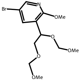 COCOCC(OCOC)c1cc(Br)cnc1OC